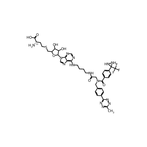 Cc1nnc(-c2ccc(CN(CC(=O)NCCCCNc3ncnc4c3ncn4C3OC(CSCC[C@H](N)C(=O)O)C(O)C3O)C(=O)c3ccc(C4(C(F)(F)F)NN4)cc3)cc2)nn1